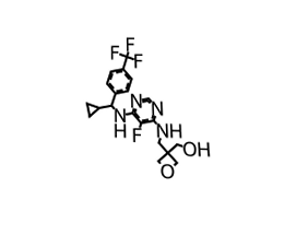 OCC1(CNc2ncnc(NC(c3ccc(C(F)(F)F)cc3)C3CC3)c2F)COC1